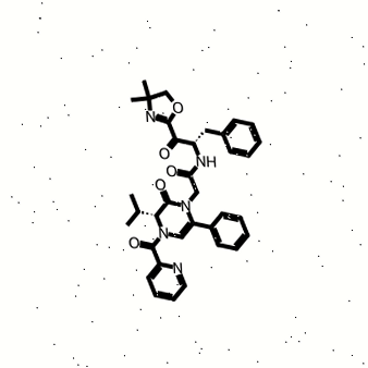 CC(C)[C@@H]1C(=O)N(CC(=O)N[C@@H](Cc2ccccc2)C(=O)C2=NC(C)(C)CO2)C(c2ccccc2)=CN1C(=O)c1ccccn1